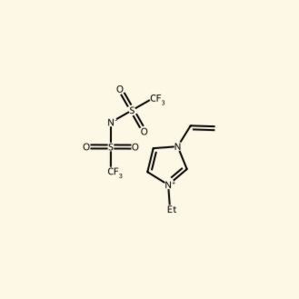 C=Cn1cc[n+](CC)c1.O=S(=O)([N-]S(=O)(=O)C(F)(F)F)C(F)(F)F